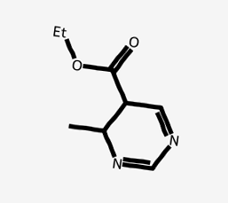 CCOC(=O)C1C=NC=NC1C